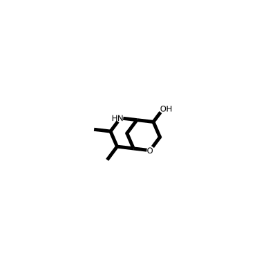 CC1NC2CC(OCC2O)C1C